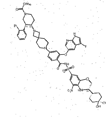 COC(=O)N1CC[C@@H](N2CC3(CCN(c4ccc(C(=O)NS(=O)(=O)c5cc6c(c([N+](=O)[O-])c5)N[C@@H]([C@H]5CC[C@](C)(O)CC5)CO6)c(Oc5cnc6[nH]cc(F)c6c5)c4)CC3)C2)[C@@H](c2ccccc2C(C)C)C1